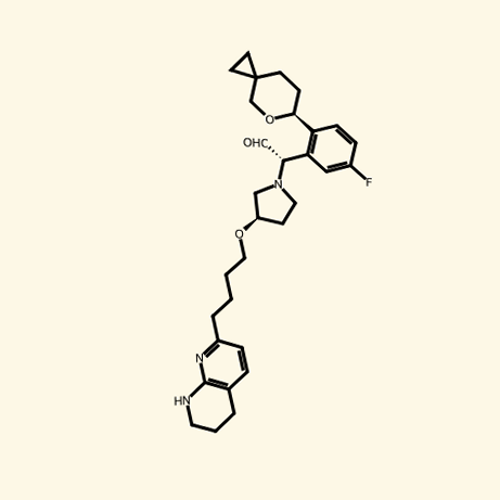 O=C[C@H](c1cc(F)ccc1[C@@H]1CCC2(CC2)CO1)N1CC[C@@H](OCCCCc2ccc3c(n2)NCCC3)C1